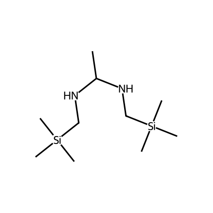 CC(NC[Si](C)(C)C)NC[Si](C)(C)C